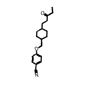 CCC(=O)CCC1CCC(COc2ccc(C#N)cc2)CC1